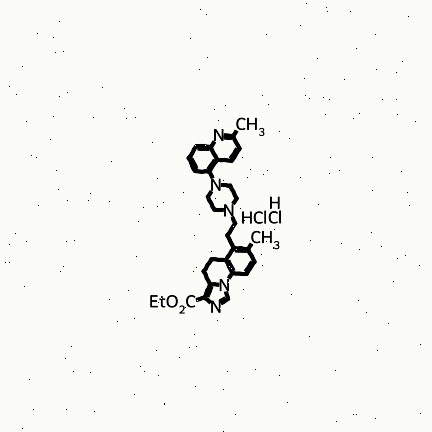 CCOC(=O)c1ncn2c1CCc1c-2ccc(C)c1CCN1CCN(c2cccc3nc(C)ccc23)CC1.Cl.Cl